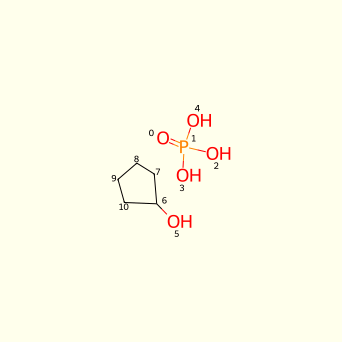 O=P(O)(O)O.OC1CCCC1